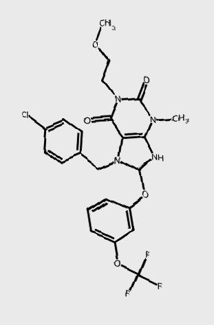 COCCn1c(=O)c2c(n(C)c1=O)NC(Oc1cccc(OC(F)(F)F)c1)N2Cc1ccc(Cl)cc1